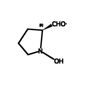 O=[C][C@H]1CCCN1O